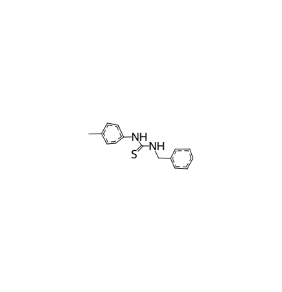 Cc1ccc(NC(=S)NCc2ccccc2)cc1